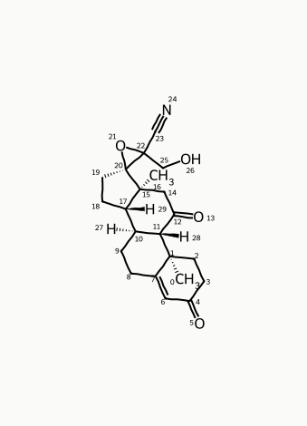 C[C@]12CCC(=O)C=C1CC[C@@H]1[C@@H]2C(=O)C[C@@]2(C)[C@H]1CC[C@@]21OC1(C#N)CO